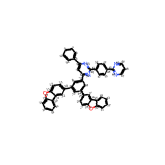 c1ccc(-c2cc(-c3cc(-c4ccc5oc6ccccc6c5c4)cc(-c4ccc5oc6ccccc6c5c4)c3)nc(-c3ccc(-c4ncccn4)cc3)n2)cc1